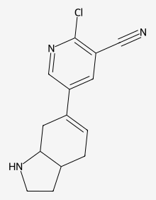 N#Cc1cc(C2=CCC3CCNC3C2)cnc1Cl